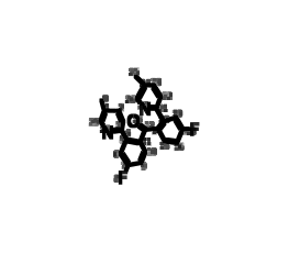 Cc1ccc(-c2cc(F)ccc2C(=O)c2ccc(F)cc2-c2ccc(C)cn2)nc1